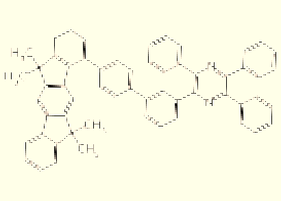 CC1(C)C2=C(C(c3ccc(-c4cccc(-c5nc(-c6ccccc6)c(-c6ccccc6)nc5-c5ccccc5)c4)cc3)=CCC2)c2cc3c(cc21)-c1ccccc1C3(C)C